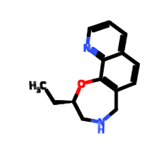 CC[C@@H]1CNCc2ccc3cccnc3c2O1